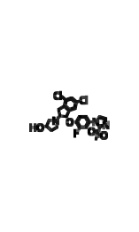 CS(=O)(=O)c1nccn1-c1ccc(O[C@H]2c3cc(Cl)cc(Cl)c3C[C@@H]2N2CC[C@@H](O)C2)c(F)c1